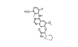 COc1cc2c(Nc3c(F)ccc(O)c3C)ncnc2cc1OC(C(N)=O)C1CCCCC1